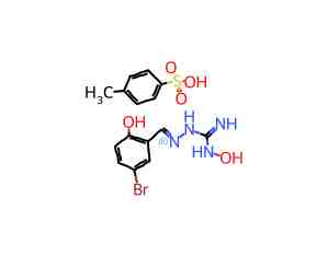 Cc1ccc(S(=O)(=O)O)cc1.N=C(NO)N/N=C/c1cc(Br)ccc1O